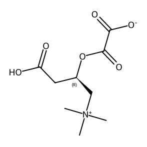 C[N+](C)(C)C[C@@H](CC(=O)O)OC(=O)C(=O)[O-]